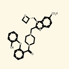 N#Cc1ccccc1Oc1ccccc1C(=O)N1CCN(Cc2nc3ccc(C(=O)O)cc3n2C[C@@H]2CCO2)CC1